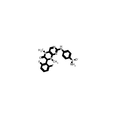 CN1C(=O)C(c2c(F)cccc2F)N(C)c2nc(Nc3ccc([S+](N)[O-])cc3)ncc21